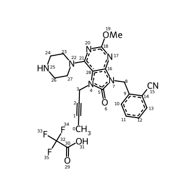 CC#CCn1c(=O)n(Cc2ccccc2C#N)c2nc(OC)nc(N3CCNCC3)c21.O=C(O)C(F)(F)F